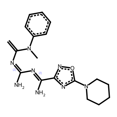 C=C(/N=C(N)\N=C(/N)c1noc(N2CCCCC2)n1)N(C)c1ccccc1